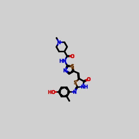 Cc1cc(O)ccc1/N=C1/NC(=O)/C(=C/c2cnc(NC(=O)C3CCN(C)CC3)s2)S1